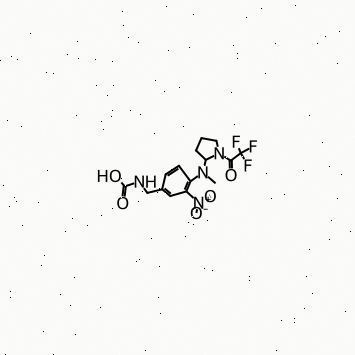 CN(c1ccc(CNC(=O)O)cc1[N+](=O)[O-])C1CCCN1C(=O)C(F)(F)F